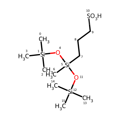 C[Si](C)(C)O[Si](C)(CCCS(=O)(=O)O)O[Si](C)(C)C